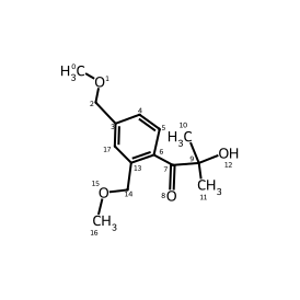 COCc1ccc(C(=O)C(C)(C)O)c(COC)c1